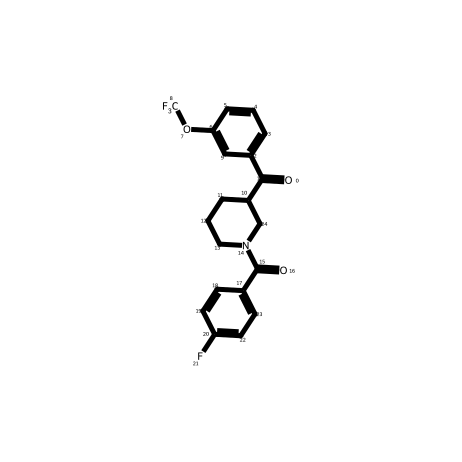 O=C(c1cccc(OC(F)(F)F)c1)C1CCCN(C(=O)c2ccc(F)cc2)C1